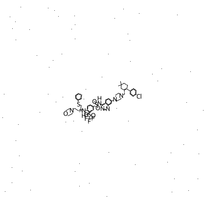 CC1(C)CCC(c2ccc(Cl)cc2)=C(CN2CCN(c3ccc4c(NS(=O)(=O)c5ccc(N[C@H](CCN6CCOCC6)CSc6ccccc6)c(S(=O)(=O)C(F)(F)F)c5)ncnc4c3)CC2)C1